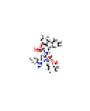 O=C(N[C@H](CO)Cc1ccccc1)[C@H](Cc1c[nH]c2ccccc12)N(CC1c2ccccc2-c2ccccc21)C(=O)O